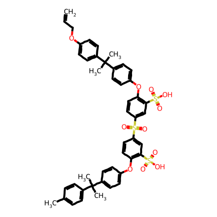 C=CCOc1ccc(C(C)(C)c2ccc(Oc3ccc(S(=O)(=O)c4ccc(Oc5ccc(C(C)(C)c6ccc(C)cc6)cc5)c(S(=O)(=O)O)c4)cc3S(=O)(=O)O)cc2)cc1